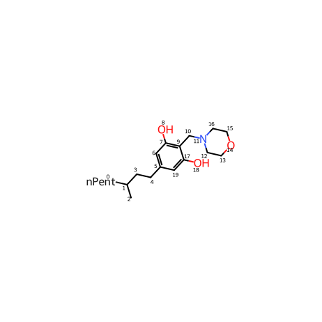 CCCCCC(C)CCc1cc(O)c(CN2CCOCC2)c(O)c1